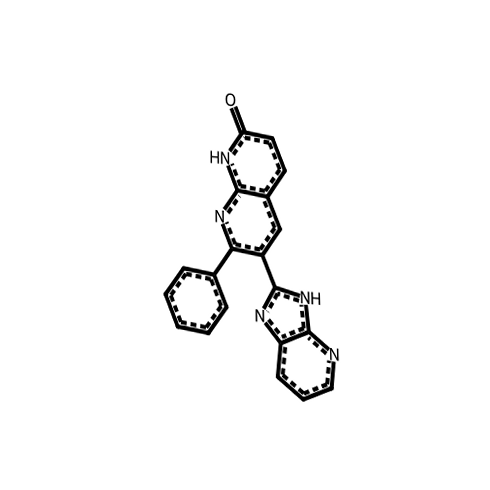 O=c1ccc2cc(-c3nc4cccnc4[nH]3)c(-c3ccccc3)nc2[nH]1